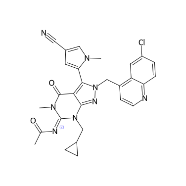 CC(=O)/N=c1\n(C)c(=O)c2c(-c3cc(C#N)cn3C)n(Cc3ccnc4ccc(Cl)cc34)nc2n1CC1CC1